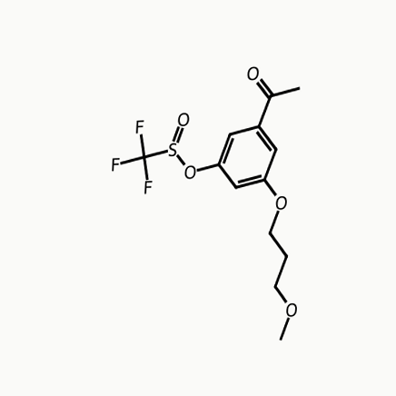 COCCCOc1cc(OS(=O)C(F)(F)F)cc(C(C)=O)c1